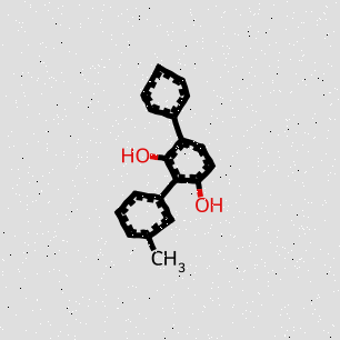 Cc1cccc(-c2c(O)ccc(-c3ccccc3)c2O)c1